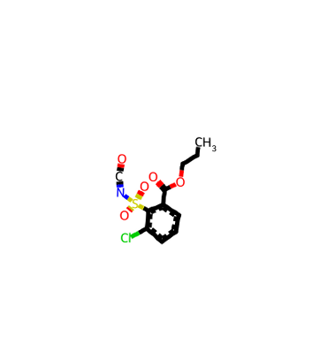 CCCOC(=O)c1cccc(Cl)c1S(=O)(=O)N=C=O